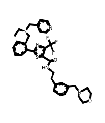 CCN(Cc1ccncc1)Cc1ccccc1-c1nc(C(F)(F)F)c(C(=O)NCCc2cccc(CN3CCOCC3)c2)s1